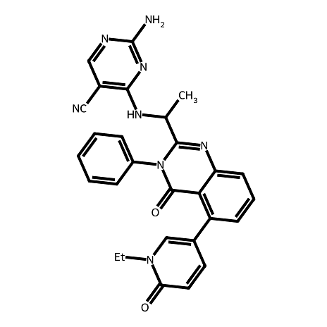 CCn1cc(-c2cccc3nc(C(C)Nc4nc(N)ncc4C#N)n(-c4ccccc4)c(=O)c23)ccc1=O